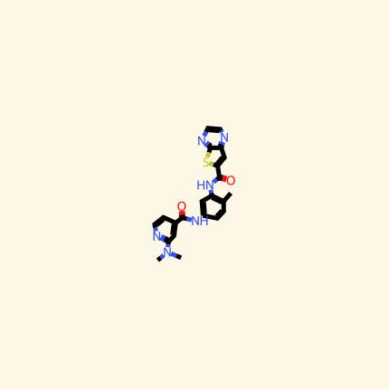 Cc1ccc(NC(=O)c2ccnc(N(C)C)c2)cc1NC(=O)c1cc2nccnc2s1